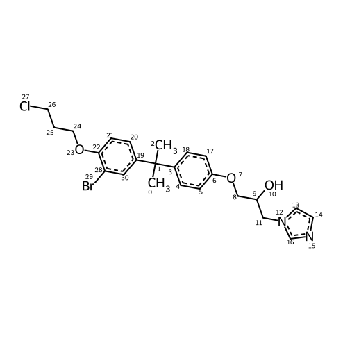 CC(C)(c1ccc(OCC(O)Cn2ccnc2)cc1)c1ccc(OCCCCl)c(Br)c1